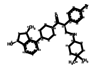 C[C@@H]1C[C@@H](O)c2ncnc(N3CCN(C(=O)[C@H](CNC4CCC(C)(C)CC4)c4ccc(Br)cc4)CC3)c21